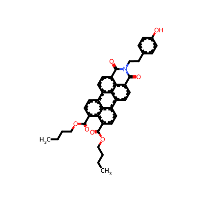 CCCCOC(=O)c1ccc2c3ccc4c5c(ccc(c6ccc(C(=O)OCCCC)c1c26)c53)C(=O)N(CCc1ccc(O)cc1)C4=O